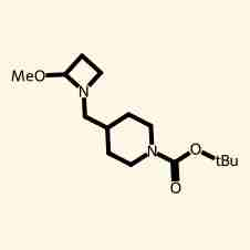 COC1CCN1CC1CCN(C(=O)OC(C)(C)C)CC1